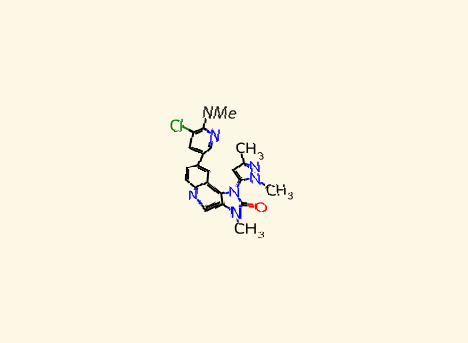 CNc1ncc(-c2ccc3ncc4c(c3c2)n(-c2cc(C)nn2C)c(=O)n4C)cc1Cl